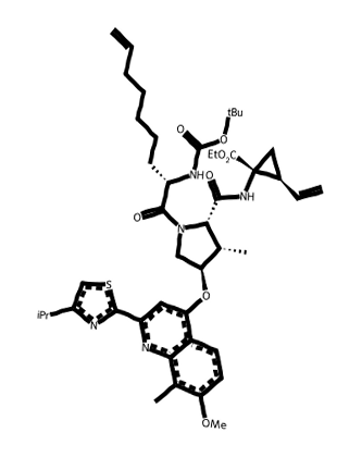 C=CCCCCC[C@H](NC(=O)OC(C)(C)C)C(=O)N1C[C@H](Oc2cc(-c3nc(C(C)C)cs3)nc3c(C)c(OC)ccc23)[C@@H](C)[C@H]1C(=O)N[C@]1(C(=O)OCC)C[C@H]1C=C